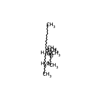 CCCCCCCCCCCCCCCCC(CCCCCCCCCCCCCCCC)=C(C)C(C)C(C)C(C)C(=O)OCCCCN(C)C